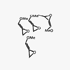 COC=C1CO1.COC=C1CO1.COC=C1CO1.COC=C1OC1C